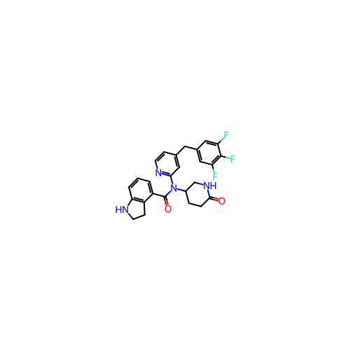 O=C1CCC(N(C(=O)c2cccc3c2CCN3)c2cc(Cc3cc(F)c(F)c(F)c3)ccn2)CN1